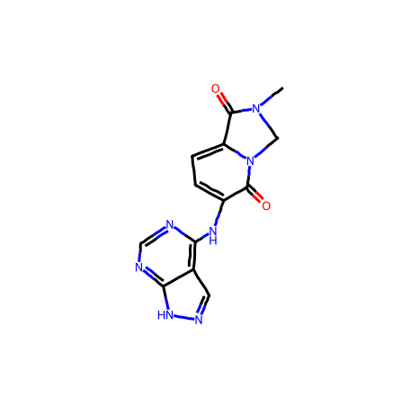 CN1Cn2c(ccc(Nc3ncnc4[nH]ncc34)c2=O)C1=O